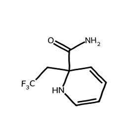 NC(=O)C1(CC(F)(F)F)C=CC=CN1